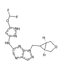 FC(F)Oc1cc(Nc2cnc3cnn(CC4[C@H]5COC[C@@H]45)c3n2)n[nH]1